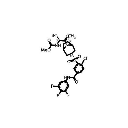 COC(=O)N[C@H](C(=O)N1C2C[C@@H](S(=O)(=O)c3cc(C(=O)Nc4cc(F)c(F)c(F)c4)ccc3Cl)CC1[C@@H](C)C2)C(C)C